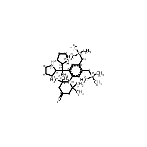 CC1(C)CC(=O)CC(C)(C)P1c1cc(C[Si](C)(C)C)c(C[Si](C)(C)C)cc1C(P)(C1CCCN1)C1CCCN1